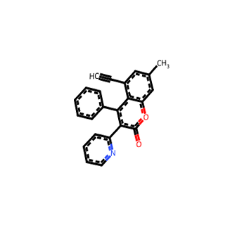 C#Cc1cc(C)cc2oc(=O)c(-c3ccccn3)c(-c3ccccc3)c12